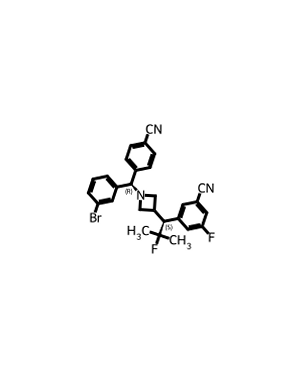 CC(C)(F)[C@H](c1cc(F)cc(C#N)c1)C1CN([C@H](c2ccc(C#N)cc2)c2cccc(Br)c2)C1